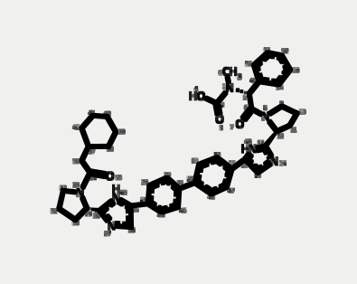 CN(C(=O)O)[C@@H](C(=O)N1CCC[C@H]1c1ncc(-c2ccc(-c3ccc(-c4cnc([C@@H]5CCCN5C(=O)CC5CCCCC5)[nH]4)cc3)cc2)[nH]1)c1ccccc1